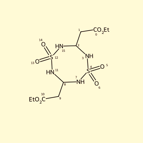 CCOC(=O)CC1NS(=O)(=O)NC(CC(=O)OCC)NS(=O)(=O)N1